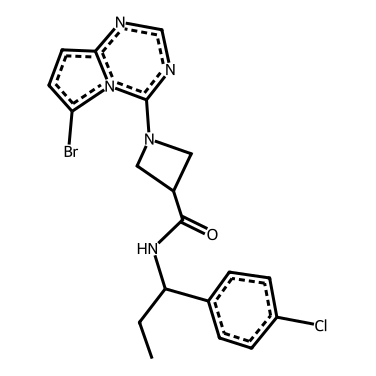 CCC(NC(=O)C1CN(c2ncnc3ccc(Br)n23)C1)c1ccc(Cl)cc1